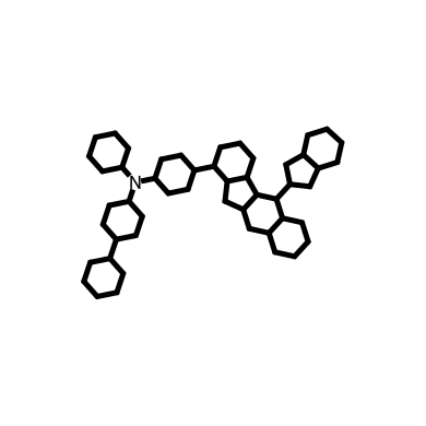 C1CCC(C2CCC(N(C3CCCCC3)C3CCC(C4CCCC5C4CC4CC6CCCCC6C(C6CC7CCCCC7C6)C45)CC3)CC2)CC1